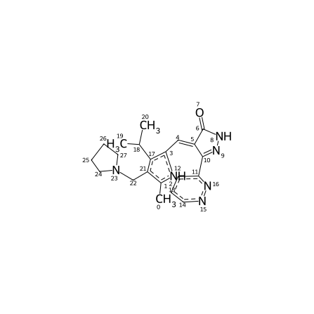 Cc1[nH]c(/C=C2/C(=O)NN=C2c2cccnn2)c(C(C)C)c1CN1CCCC1